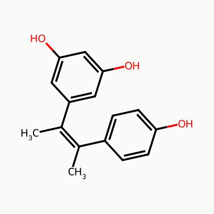 CC(=C(C)c1cc(O)cc(O)c1)c1ccc(O)cc1